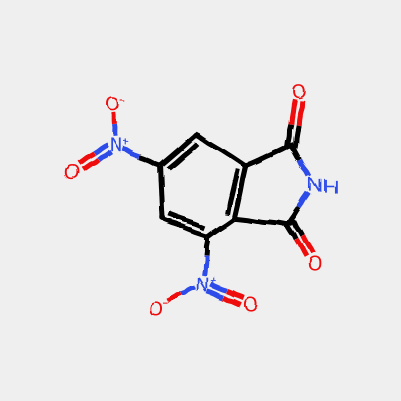 O=C1NC(=O)c2c1cc([N+](=O)[O-])cc2[N+](=O)[O-]